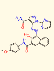 COc1ccc(NC(=O)c2cc3ccccc3c(/N=N/c3c(C(N)=O)cnn3-c3ncccn3)c2O)cc1